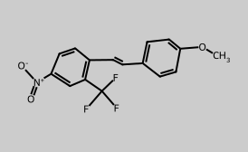 COc1ccc(C=Cc2ccc([N+](=O)[O-])cc2C(F)(F)F)cc1